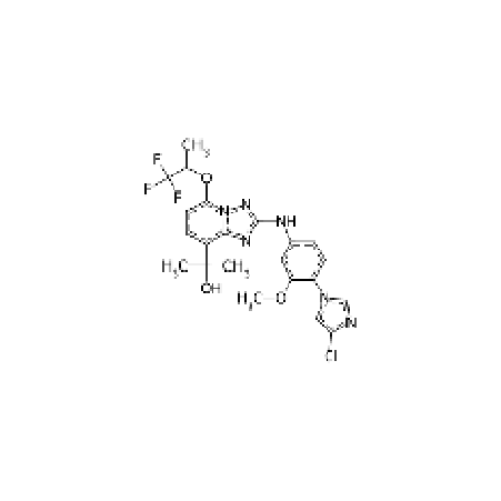 COc1cc(Nc2nc3c(C(C)(C)O)ccc(OC(C)C(F)(F)F)n3n2)ccc1-n1cnc(Cl)c1